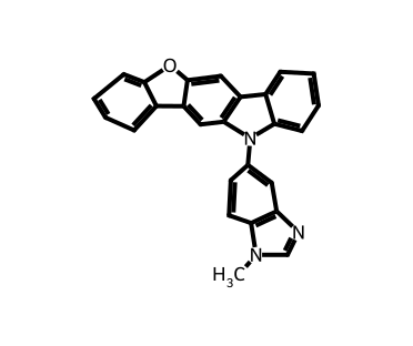 Cn1cnc2cc(-n3c4ccccc4c4cc5oc6ccccc6c5cc43)ccc21